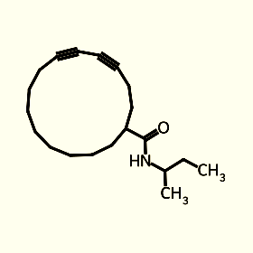 CCC(C)NC(=O)C1CCC#CC#CCCCCCCCC1